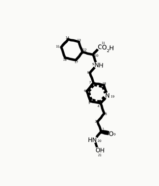 O=C(CCc1ccc(CNC(C(=O)O)C2CCCCC2)cn1)NO